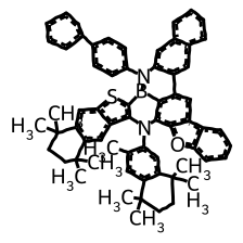 Cc1cc2c(cc1N1c3c(sc4cc5c(cc34)C(C)(C)CCC5(C)C)B3c4c(cc5c(oc6ccccc65)c41)-c1cc4ccccc4cc1N3c1ccc(-c3ccccc3)cc1)C(C)(C)CCC2(C)C